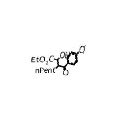 CCCCCC(C(=O)c1ccc(Cl)cc1)[C@H](O)C(=O)OCC